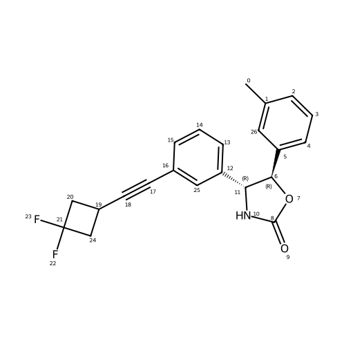 Cc1cccc([C@H]2OC(=O)N[C@@H]2c2cccc(C#CC3CC(F)(F)C3)c2)c1